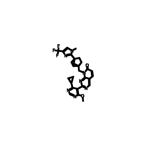 COc1ncnc(C2CC2)c1-c1ncc2ccc(=O)n(CC34CCC(c5nc(C(F)(F)F)cn5C)(CC3)C4)c2n1